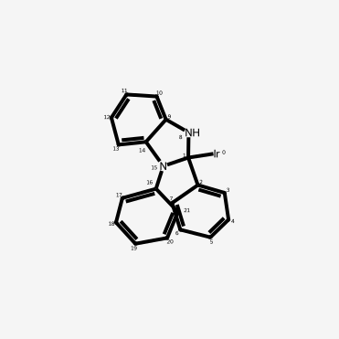 [Ir][C]1(c2ccccc2)Nc2ccccc2N1c1ccccc1